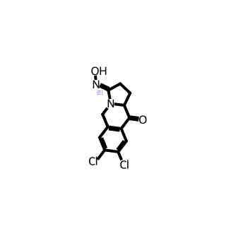 O=C1c2cc(Cl)c(Cl)cc2CN2/C(=N/O)CCC12